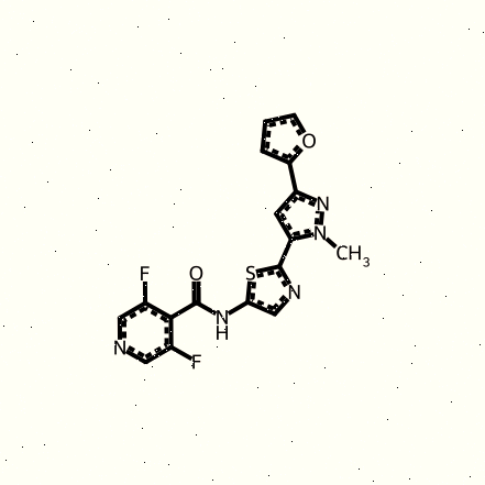 Cn1nc(-c2ccco2)cc1-c1ncc(NC(=O)c2c(F)cncc2F)s1